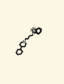 c1ccc2c(c1)nnn2CCCCN1CCC(C2CCCCC2)CC1